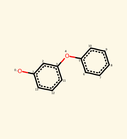 [O]c1[c]c(Oc2ccccc2)ccc1